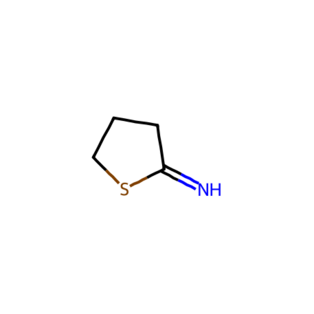 N=C1CCCS1